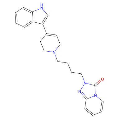 O=c1n(CCCCN2CC=C(c3c[nH]c4ccccc34)CC2)nc2ccccn12